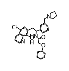 O=C(COc1ccccc1)NC(Cc1cc(Cl)c2cccnc2c1O)c1cccc(CN2CCCC2)c1